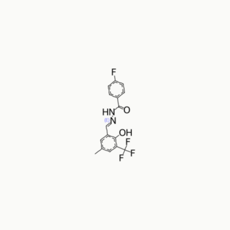 Cc1cc(/C=N/NC(=O)c2ccc(F)cc2)c(O)c(C(F)(F)F)c1